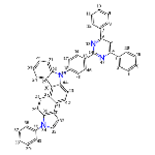 c1ccc(-c2cc(-c3ccccc3)nc(-c3ccc(-n4c5ccccc5c5c6ccc7c(ccn7-c7ccccc7)c6ccc54)cc3)n2)cc1